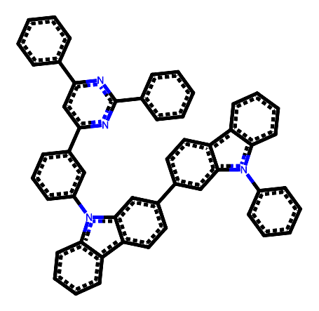 c1ccc(-c2cc(-c3cccc(-n4c5ccccc5c5ccc(-c6ccc7c8ccccc8n(-c8ccccc8)c7c6)cc54)c3)nc(-c3ccccc3)n2)cc1